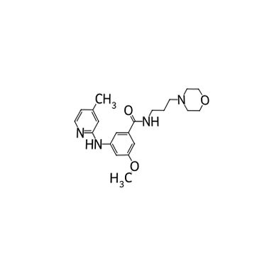 COc1cc(Nc2cc(C)ccn2)cc(C(=O)NCCCN2CCOCC2)c1